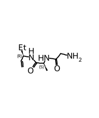 C=C[C@@H](CC)NC(=O)[C@H](C)NC(=O)CN